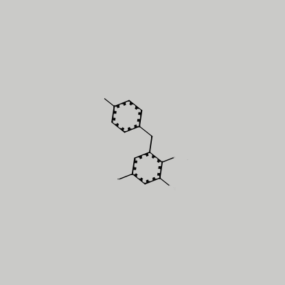 CCc1ccc(Cc2cc(I)cc(Br)c2C)cc1